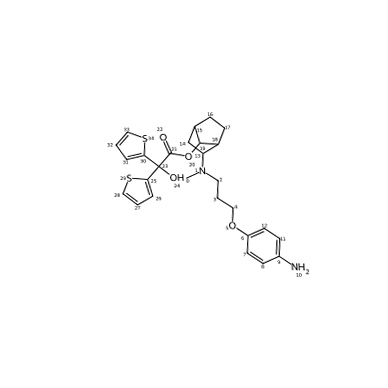 CN(CCCOc1ccc(N)cc1)C1CC2CCC1C2OC(=O)C(O)(c1cccs1)c1cccs1